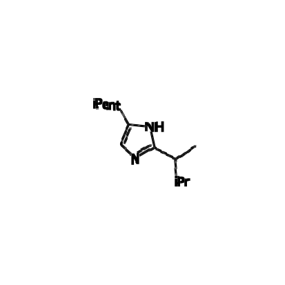 CCCC(C)c1cnc(C(C)C(C)C)[nH]1